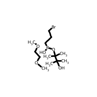 CC(C)(O)C(C)(C)OB(O)CCCBr.COCCOC